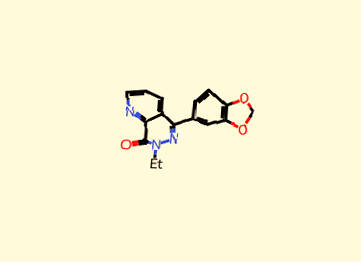 CCn1nc(-c2ccc3c(c2)OCO3)c2cccnc2c1=O